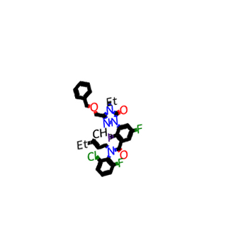 CCC(C)=CCN(C(=O)c1cc(F)cc(-n2nc(COCc3ccccc3)n(CC)c2=O)c1I)c1c(F)cccc1Cl